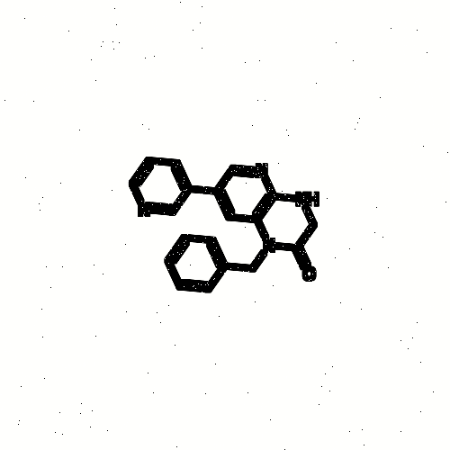 O=C1CNc2ncc(-c3cccnc3)cc2N1Cc1ccccc1